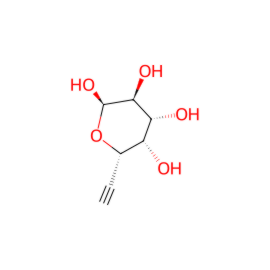 C#C[C@@H]1O[C@@H](O)[C@@H](O)[C@H](O)[C@@H]1O